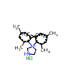 Cc1cc(C)c([N+]2(c3c(C)cc(C)cc3C)CCNC2)c(C)c1.Cl